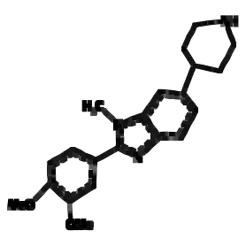 COc1ccc(-c2nc3ccc(C4CCNCC4)cc3n2C)cc1OC